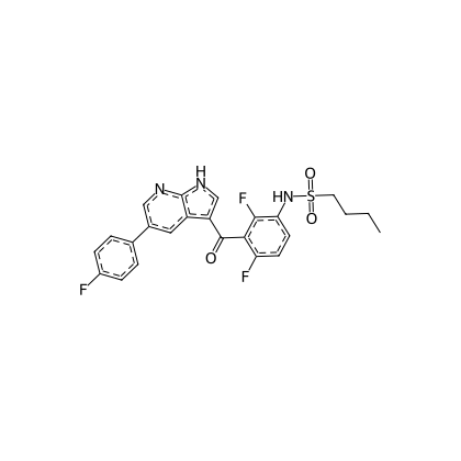 CCCCS(=O)(=O)Nc1ccc(F)c(C(=O)c2c[nH]c3ncc(-c4ccc(F)cc4)cc23)c1F